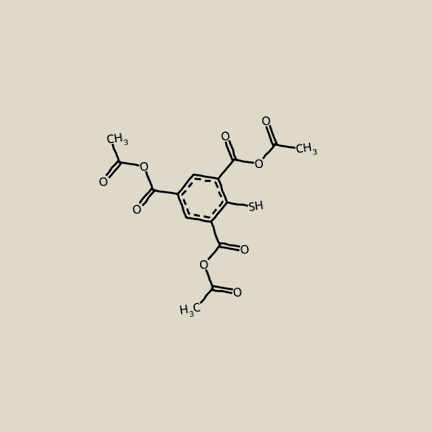 CC(=O)OC(=O)c1cc(C(=O)OC(C)=O)c(S)c(C(=O)OC(C)=O)c1